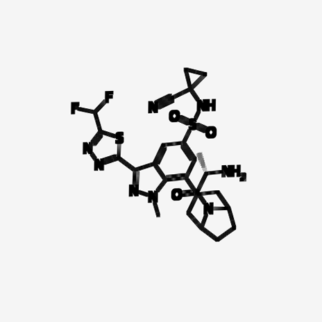 C[C@H](N)C(=O)N1C2CCC1CC(c1cc(S(=O)(=O)NC3(C#N)CC3)cc3c(-c4nnc(C(F)F)s4)nn(C)c13)C2